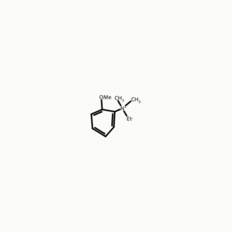 C[CH][N+](C)(C)c1ccccc1OC